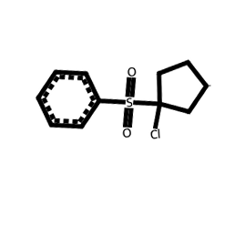 O=S(=O)(c1ccccc1)C1(Cl)C[CH]CC1